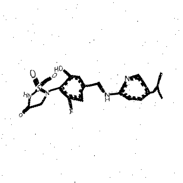 CC(C)c1ccc(NCc2cc(O)c(N3CC(=O)NS3(=O)=O)c(F)c2)nc1